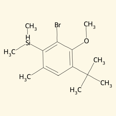 COc1c(C(C)(C)C)cc(C)c([SiH](C)C)c1Br